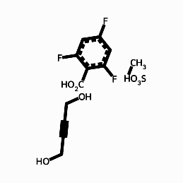 CS(=O)(=O)O.O=C(O)c1c(F)cc(F)cc1F.OCC#CCO